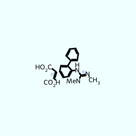 C/N=C(\NC)Nc1ccccc1-c1ccccc1.O=C(O)/C=C/C(=O)O